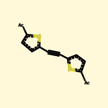 CC(=O)c1ccc(C#Cc2ccc(C(C)=O)s2)s1